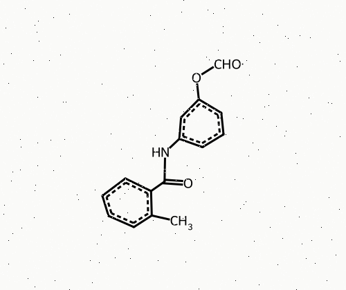 Cc1ccccc1C(=O)Nc1cccc(O[C]=O)c1